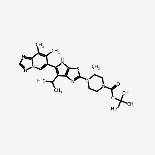 Cc1c(-c2[nH]c3sc(N4CCN(C(=O)OC(C)(C)C)C[C@H]4C)nc3c2C(C)C)cn2ncnc2c1C